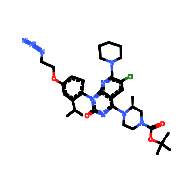 CC(C)c1cc(OCCN=[N+]=[N-])ccc1-n1c(=O)nc(N2CCN(C(=O)OC(C)(C)C)C[C@@H]2C)c2cc(Cl)c(N3CCCCC3)nc21